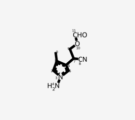 Cc1cn(N)cc1C(C#N)COC=O